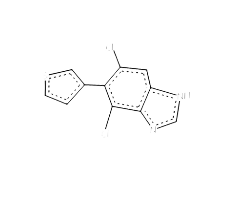 Clc1cc2[nH][c]nc2c(Cl)c1-c1ccsc1